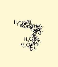 CC[N+](C)(CC)CC.CC[N+](C)(CC)CC.CC[N+](C)(CC)CC.CC[N+](C)(CC)CC.O=C([O-])c1cccc(I)c1OBr.[O-]B([O-])[O-]